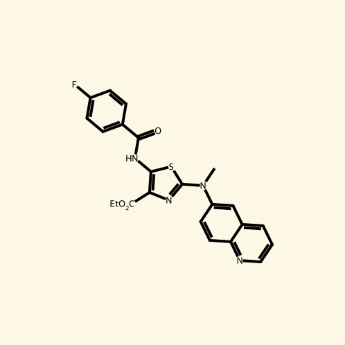 CCOC(=O)c1nc(N(C)c2ccc3ncccc3c2)sc1NC(=O)c1ccc(F)cc1